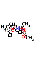 CCC(=O)Oc1ccc(C[C@H](N)C(=O)O[C@@H](C)C(C)OC(=O)C2CCCCC2)cc1OC(=O)CC